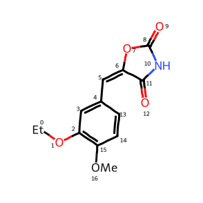 CCOc1cc(/C=C2/OC(=O)NC2=O)ccc1OC